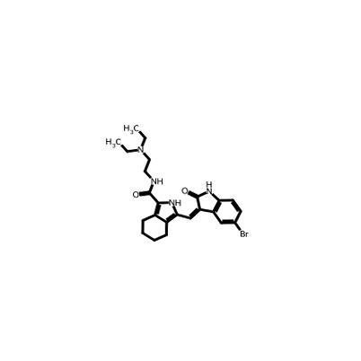 CCN(CC)CCNC(=O)c1[nH]c(C=C2C(=O)Nc3ccc(Br)cc32)c2c1CCCC2